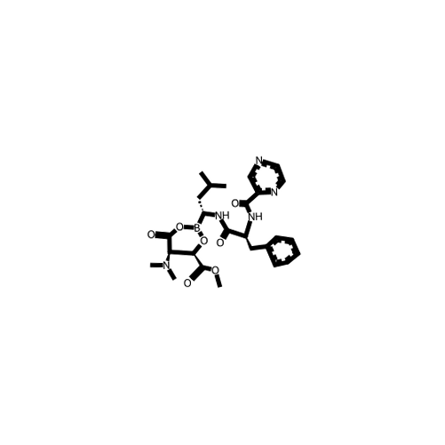 COC(=O)[C@@H]1OB([C@H](CC(C)C)NC(=O)[C@H](Cc2ccccc2)NC(=O)c2cnccn2)OC(=O)[C@@H]1N(C)C